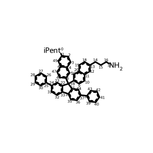 CCCC(C)c1ccc2cc(C3(c4ccc5cc(CCCN)ccc5c4)c4cc(-c5ccccc5)ccc4-c4ccc(-c5ccccc5)cc43)ccc2c1